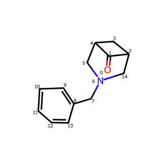 O=C1C2CC1CN(Cc1ccccc1)C2